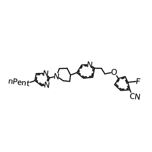 CCCCCc1cnc(N2CCC(c3ccc(CCOc4ccc(C#N)c(F)c4)nc3)CC2)nc1